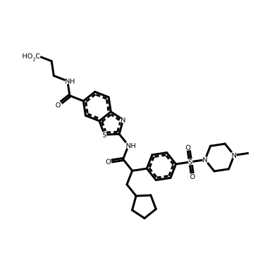 CN1CCN(S(=O)(=O)c2ccc(C(CC3CCCC3)C(=O)Nc3nc4ccc(C(=O)NCCC(=O)O)cc4s3)cc2)CC1